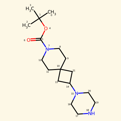 CC(C)(C)OC(=O)N1CCC2(CC1)CC(N1CCNCC1)C2